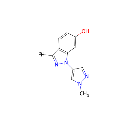 [2H]c1nn(-c2cnn(C)c2)c2cc(O)ccc12